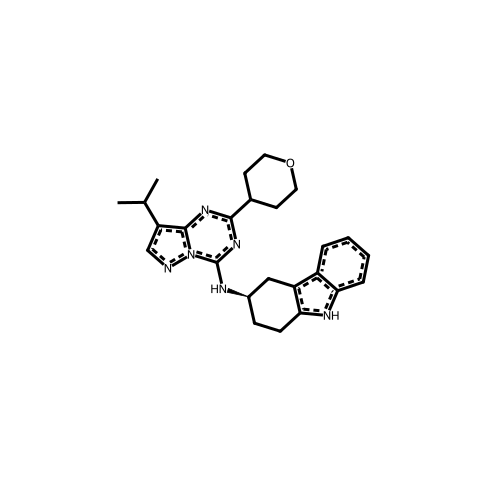 CC(C)c1cnn2c(N[C@@H]3CCc4[nH]c5ccccc5c4C3)nc(C3CCOCC3)nc12